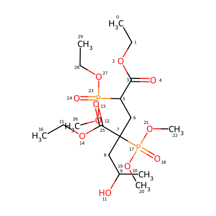 CCOC(=O)C(CC(CC(C)O)(C(=O)OCC)P(=O)(OC)OC)P(=O)(OC)OCC